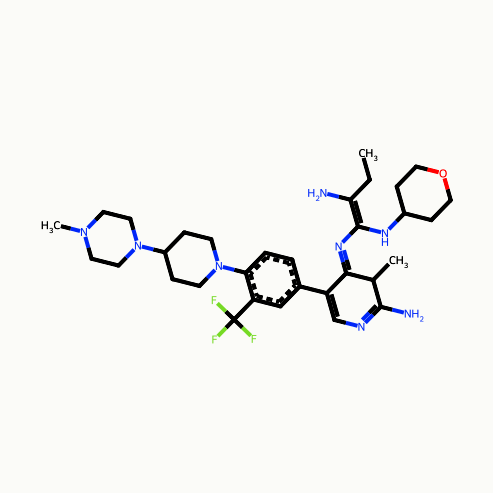 CC/C(N)=C(/N=C1/C(c2ccc(N3CCC(N4CCN(C)CC4)CC3)c(C(F)(F)F)c2)=CN=C(N)C1C)NC1CCOCC1